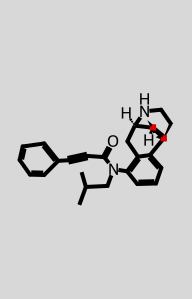 CC(C)CN(C(=O)C#Cc1ccccc1)c1cccc2c1C[C@H]1NCC[C@@]23CCCC[C@@H]13